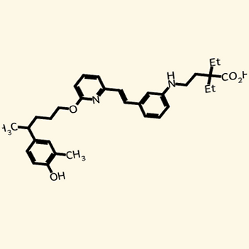 CCC(CC)(CCNc1cccc(C=Cc2cccc(OCCCC(C)c3ccc(O)c(C)c3)n2)c1)C(=O)O